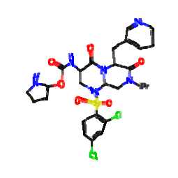 CC(C)N1CC2N(C(=O)C(NC(=O)OC3CCCN3)CN2S(=O)(=O)c2ccc(Cl)cc2Cl)C(Cc2cccnc2)C1=O